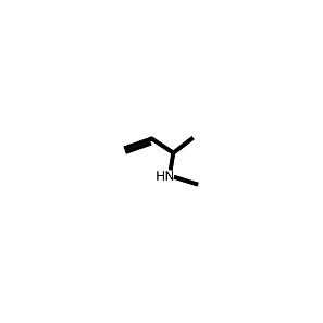 C=CC(C)NC